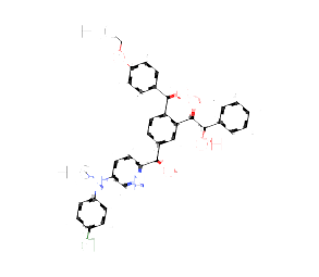 CCOc1ccc(C(=O)c2ccc(C(=O)c3ccc(N(C)c4ccc(Cl)cc4)cn3)cc2C(=O)C(O)c2ccccc2)cc1